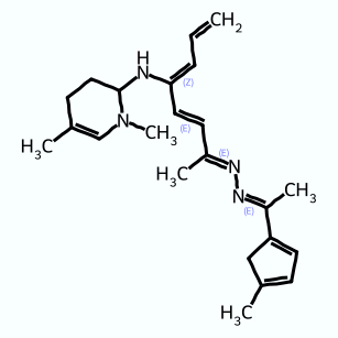 C=C/C=C(/C=C/C(C)=N/N=C(\C)C1=CC=C(C)C1)NC1CCC(C)=CN1C